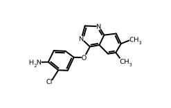 Cc1cc2ncnc(Oc3ccc(N)c(Cl)c3)c2cc1C